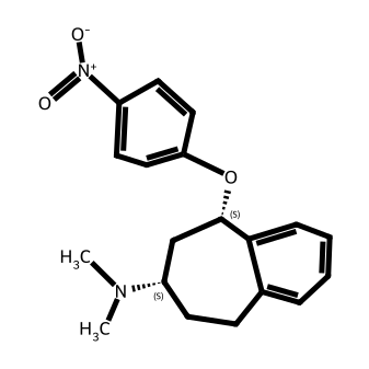 CN(C)[C@H]1CCc2ccccc2[C@@H](Oc2ccc([N+](=O)[O-])cc2)C1